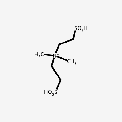 C[N+](C)(CCS(=O)(=O)O)CCS(=O)(=O)O